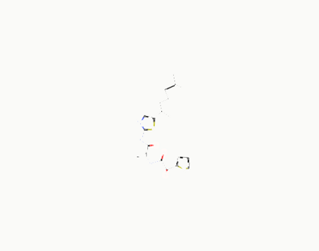 CCC[C@H](NC(=O)C(=O)c1cccs1)C(=O)Nc1ncc(C(C)CCC=C(C)C)s1